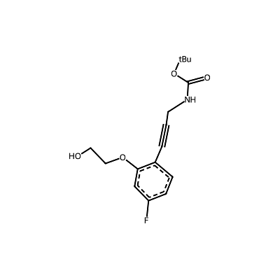 CC(C)(C)OC(=O)NCC#Cc1ccc(F)cc1OCCO